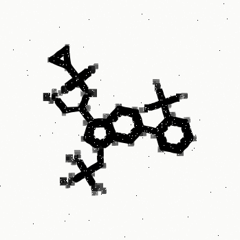 CC[C@@H](NS(=O)(=O)C1CC1)c1cn(CC(C)(C)C)c2cc(-c3ccccc3C(F)(F)F)ccc12